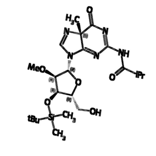 CO[C@@H]1[C@H](O[Si](C)(C)C(C)(C)C)[C@@H](CO)O[C@H]1N1C=N[C@]2(C)C(=O)N=C(NC(=O)C(C)C)N=C12